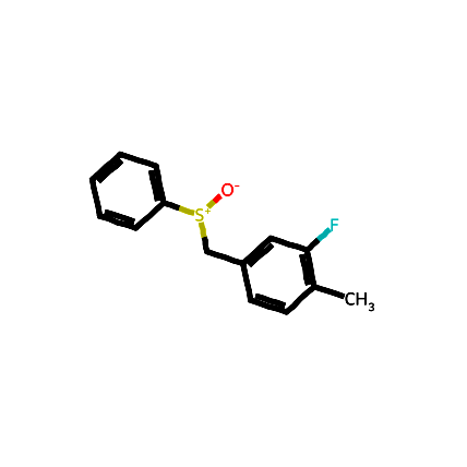 Cc1ccc(C[S+]([O-])c2ccccc2)cc1F